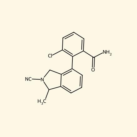 CC1c2cccc(-c3c(Cl)cccc3C(N)=O)c2CN1C#N